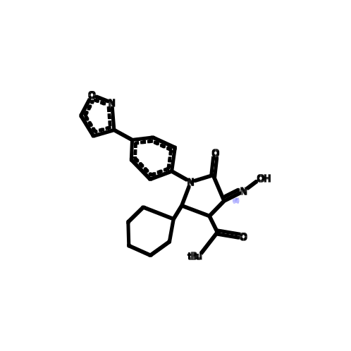 CC(C)(C)C(=O)C1/C(=N/O)C(=O)N(c2ccc(-c3ccon3)cc2)C1C1CCCCC1